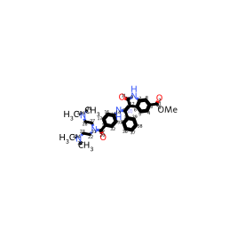 COC(=O)c1ccc2c(c1)NC(=O)/C2=C(\Nc1ccc(C(=O)N(CCN(C)C)CCN(C)C)cc1)c1ccccc1